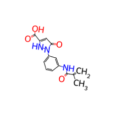 C=C(C)C(=O)Nc1cccc(-n2[nH]c(C(=O)O)cc2=O)c1